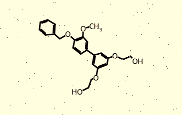 COc1cc(-c2cc(OCCO)cc(OCCO)c2)ccc1OCc1ccccc1